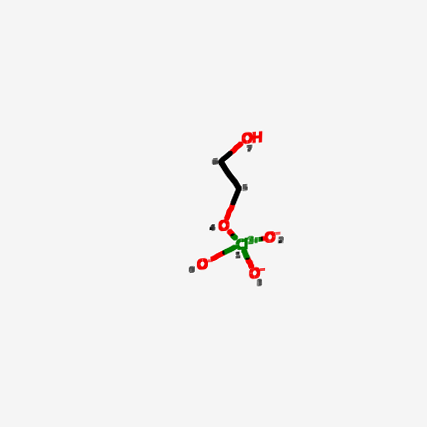 [O-][Cl+3]([O-])([O-])OCCO